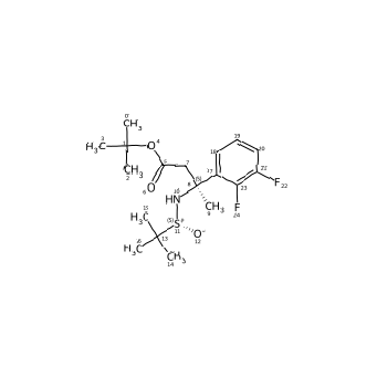 CC(C)(C)OC(=O)C[C@](C)(N[S@+]([O-])C(C)(C)C)c1cccc(F)c1F